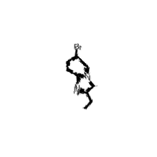 CCc1[c]n2cc(Br)ccc2n1